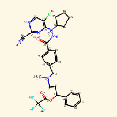 CN(CCC(OC(=O)C(F)(F)F)c1ccccc1)Cc1ccc(C(=O)NN(c2nc(C#N)ncc2Cl)C2CCCC2)cc1